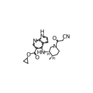 C[C@@H]1CCN(C(=O)CC#N)C[C@@H]1Nc1c(C(=O)OC2CC2)cnc2[nH]ccc12